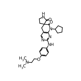 CN(C)CCOc1ccc(Nc2ncc3c(n2)N(C2CCCC2)C(=O)C2(CCNC2=O)C3)cc1